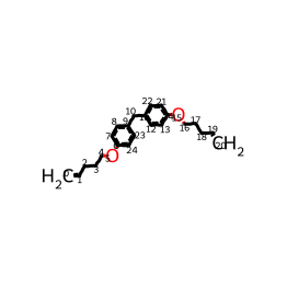 C=CCCCOc1ccc(Cc2ccc(OCCCC=C)cc2)cc1